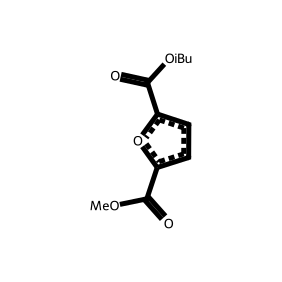 COC(=O)c1ccc(C(=O)OCC(C)C)o1